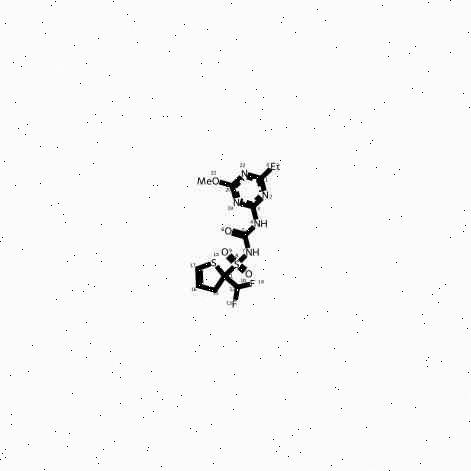 CCc1nc(NC(=O)NS(=O)(=O)C2(C(F)F)CC=CS2)nc(OC)n1